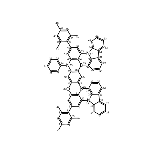 Cc1cc(C)c(-c2cc3c4c(c2)-n2c5ccccc5c5cccc(c52)B4c2cc4c(cc2O3)N(c2ccccc2)c2cc(-c3c(C)cc(C)cc3C)cc3c2B4c2cccc4c5ccccc5n-3c24)c(C)c1